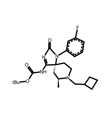 C[C@H]1C[C@]2(CCN1CC1CCC1)C(NC(=O)OC(C)(C)C)=NC(=O)N2c1cccc(F)c1